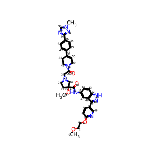 COCCOc1ccc(-c2n[nH]c3ccc(NC(=O)C4(OC)CCN(CC(=O)N5CC=C(c6ccc(-c7ncn(C)n7)cc6)CC5)C4)cc23)cn1